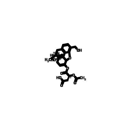 CC(=O)O[C@@H](CC(=O)O)C(=O)OC1=CC[C@@]2(O)[C@H]3Cc4ccc(CO)c5c4C2(CCN3C)C1O5